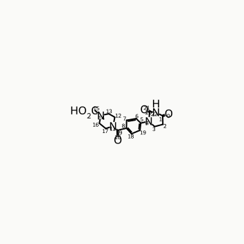 O=C1CCN(c2ccc(C(=O)N3CCN(C(=O)O)CC3)cc2)C(=O)N1